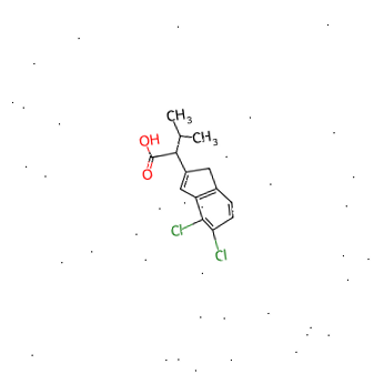 CC(C)C(C(=O)O)C1=Cc2c(ccc(Cl)c2Cl)C1